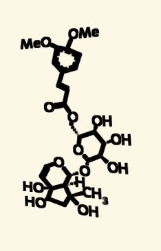 COc1ccc(/C=C/C(=O)OC[C@H]2O[C@@H](O[C@H]3OC=C[C@@]4(O)[C@@H]3[C@](C)(O)C[C@@H]4O)[C@H](O)[C@@H](O)[C@@H]2O)cc1OC